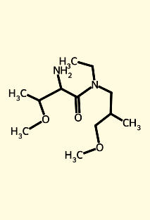 CCN(CC(C)COC)C(=O)C(N)C(C)OC